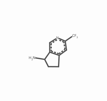 NC1CCc2cc(C(F)(F)F)ncc21